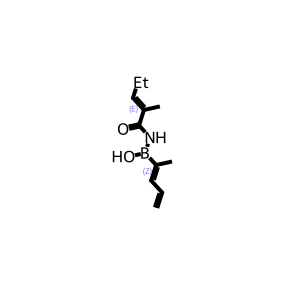 C=C/C=C(\C)B(O)NC(=O)/C(C)=C/CC